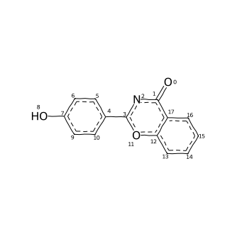 O=c1nc(-c2ccc(O)cc2)oc2ccccc12